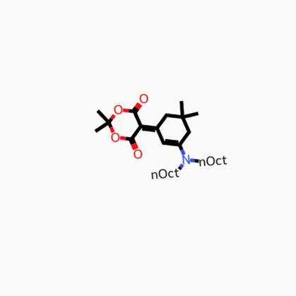 CCCCCCCCN(CCCCCCCC)C1=CC(=C2C(=O)OC(C)(C)OC2=O)CC(C)(C)C1